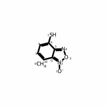 C.[O-][n+]1onc2c(S)cccc21